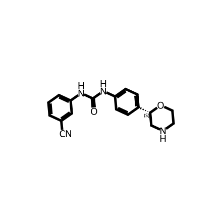 N#Cc1cccc(NC(=O)Nc2ccc([C@H]3CNCCO3)cc2)c1